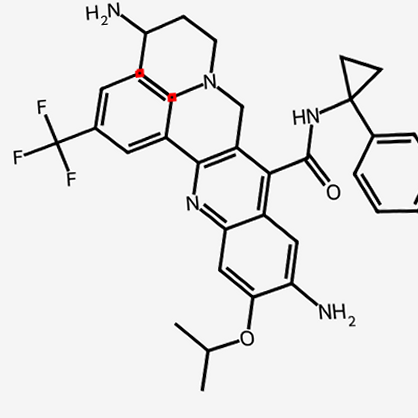 CC(C)Oc1cc2nc(-c3cccc(C(F)(F)F)c3)c(CN3CCC(N)CC3)c(C(=O)NC3(c4ccccc4)CC3)c2cc1N